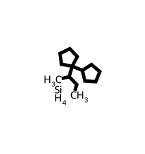 CCC(C)C1(C2CCCC2)CCCC1.[SiH4]